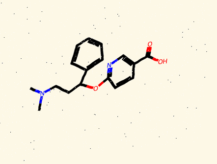 CN(C)CCC(Oc1ccc(C(=O)O)cn1)c1ccccc1